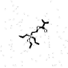 C=C(C)C(=O)OCC[Si](CCC)(CCC)OCC